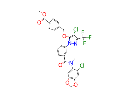 COC(=O)c1ccc(COc2c(Cl)c(C(F)(F)F)nn2-c2cccc(C(=O)N(C)c3cc4c(cc3Cl)OCO4)c2)cc1